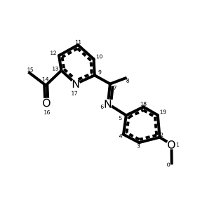 COc1ccc(/N=C(\C)c2cccc(C(C)=O)n2)cc1